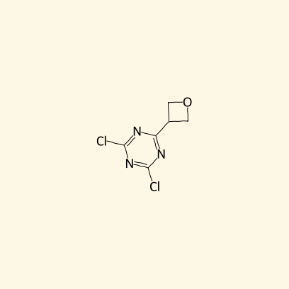 Clc1nc(Cl)nc(C2COC2)n1